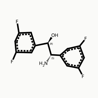 N[C@@H](c1cc(F)cc(F)c1)[C@H](O)c1cc(F)cc(F)c1